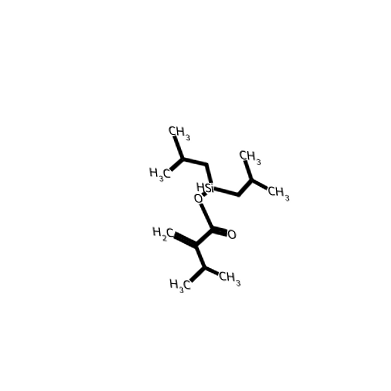 C=C(C(=O)O[SiH](CC(C)C)CC(C)C)C(C)C